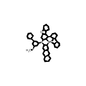 C=Pc1cc(-c2ccccc2)cc(N2c3cc4cc5ccccc5cc4cc3B3c4c2cc2oc5ccccc5c2c4-c2cccc4c5ccccc5n3c24)c1